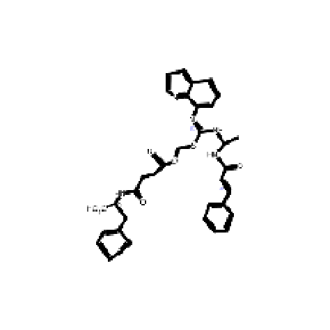 CC(NC(=O)/C=C/c1ccccc1)N/C(=N\c1cccc2cccnc12)SCOC(=O)CCC(=O)N[C@@H](Cc1ccccc1)C(=O)O